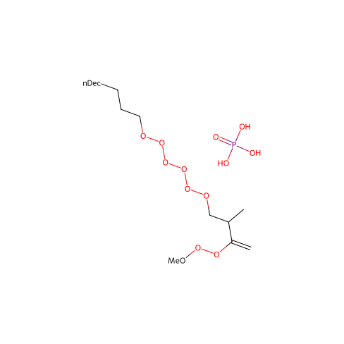 C=C(OOOC)C(C)COOOOOOCCCCCCCCCCCCC.O=P(O)(O)O